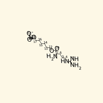 N=C(N)NCCCC(N)C(=O)OCCCCCCO[N+](=O)[O-]